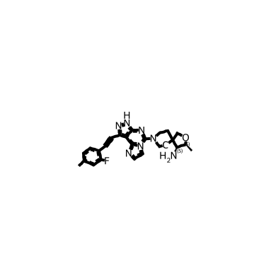 Cc1ccc(C#Cc2n[nH]c3nc(N4CCC5(CC4)CO[C@@H](C)[C@H]5N)n4ccnc4c23)c(F)c1